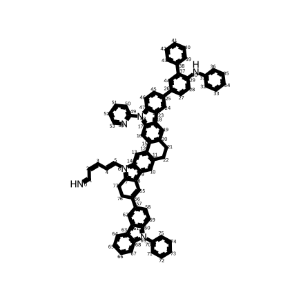 N=C/C=C\C=C\n1c2c(c3cc4c(cc31)-c1cc3c(cc1CC4)c1cc(-c4ccc(Nc5ccccc5)c(-c5ccccc5)c4)ccc1n3-c1ccccn1)C=C(c1ccc3c(c1)c1ccccc1n3-c1ccccc1)CC2